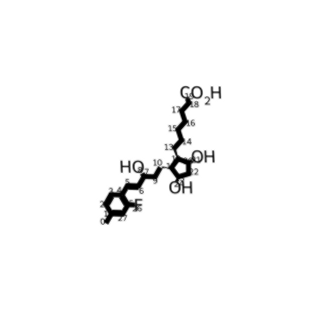 Cc1ccc(/C=C/C(O)CC[C@@H]2[C@@H](CCCCCCC(=O)O)[C@@H](O)C[C@H]2O)c(F)c1